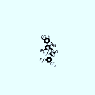 CCN(C[C@H]1CC[C@H](CC(=O)O)CC1)c1ccc(C(C)C)nc1CN1C(=O)O[C@H](c2cc(C(F)(F)F)cc(C(F)(F)F)c2)[C@@H]1C